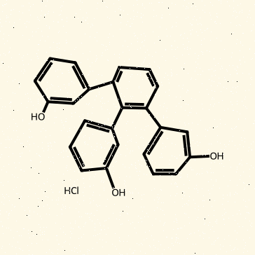 Cl.Oc1cccc(-c2cccc(-c3cccc(O)c3)c2-c2cccc(O)c2)c1